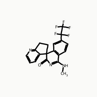 CNC1=NC(=O)C2(CCc3ncccc32)c2cc(C(F)(F)C(F)(F)F)ccc21